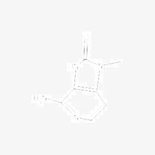 Cn1c(=O)[nH]c2c(N)nccc21